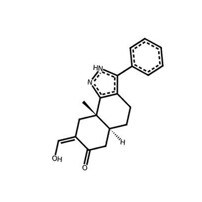 C[C@]12C/C(=C/O)C(=O)C[C@@H]1CCc1c2n[nH]c1-c1ccccc1